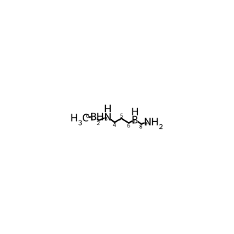 CBCNCCCBCN